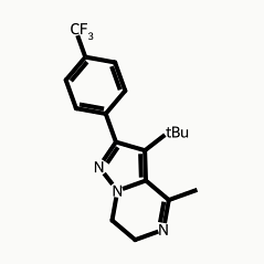 CC1=NCCn2nc(-c3ccc(C(F)(F)F)cc3)c(C(C)(C)C)c21